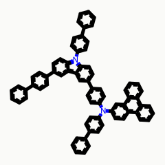 c1ccc(-c2ccc(-c3ccc4c(c3)c3cc(-c5ccc(N(c6ccc(-c7ccccc7)cc6)c6ccc7c8ccccc8c8ccccc8c7c6)cc5)ccc3n4-c3ccc(-c4ccccc4)cc3)cc2)cc1